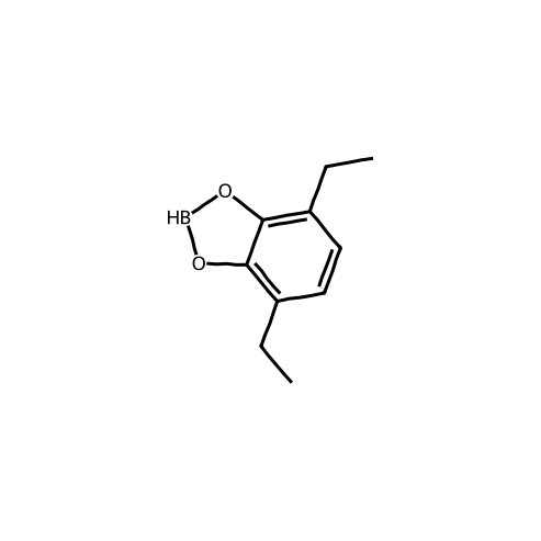 CCc1ccc(CC)c2c1OBO2